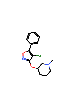 CN1CCCC(Oc2noc(-c3ccccc3)c2Cl)C1